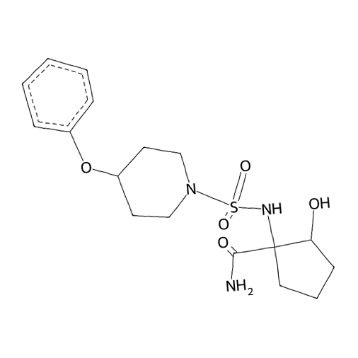 NC(=O)C1(NS(=O)(=O)N2CCC(Oc3ccccc3)CC2)CCCC1O